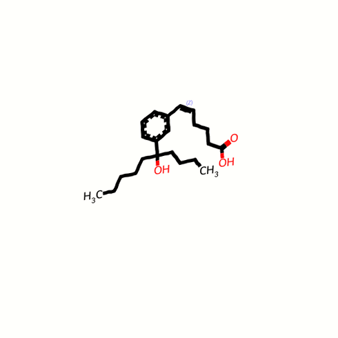 CCCCCC(O)(CCCC)c1cccc(/C=C\CCCC(=O)O)c1